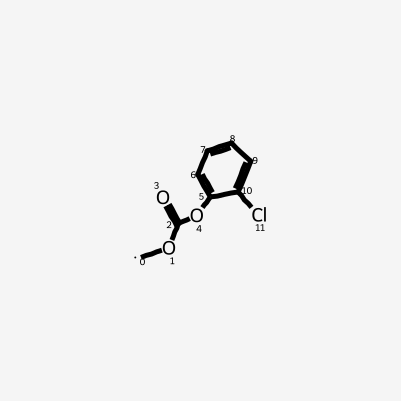 [CH2]OC(=O)Oc1ccccc1Cl